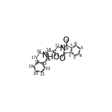 O=C1c2ccccc2C(=O)N1CC(O)CN1CCc2ccccc2C1